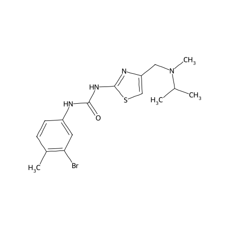 Cc1ccc(NC(=O)Nc2nc(CN(C)C(C)C)cs2)cc1Br